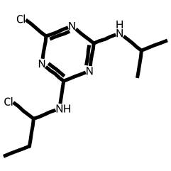 CCC(Cl)Nc1nc(Cl)nc(NC(C)C)n1